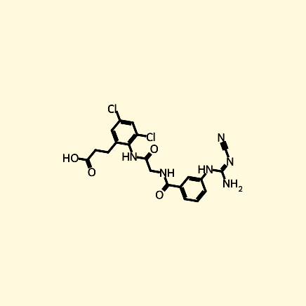 N#C/N=C(/N)Nc1cccc(C(=O)NCC(=O)Nc2c(Cl)cc(Cl)cc2CCC(=O)O)c1